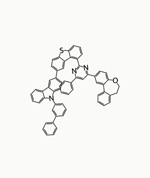 c1ccc(-c2cccc(-n3c4ccccc4c4cc(-c5ccc6sc7cccc(-c8nc(-c9ccccc9)cc(-c9ccc%10c(c9)-c9ccccc9CCO%10)n8)c7c6c5)ccc43)c2)cc1